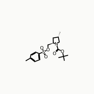 Cc1ccc(S(=O)(=O)OC[C@H]2C[C@H](C)CN2C(=O)OC(C)(C)C)cc1